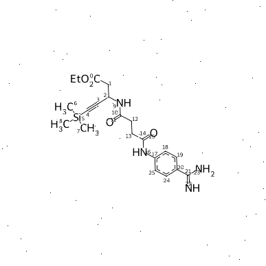 CCOC(=O)CC(C#C[Si](C)(C)C)NC(=O)CCC(=O)Nc1ccc(C(=N)N)cc1